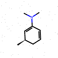 C[C@H]1C=C(N(C)C)C=CC1